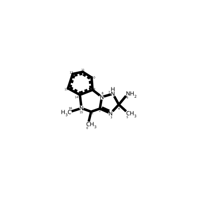 CC1C2=NC(C)(N)NN2c2ccccc2N1C